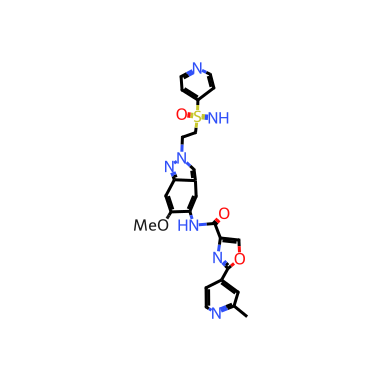 COc1cc2nn(CCS(=N)(=O)c3ccncc3)cc2cc1NC(=O)c1coc(-c2ccnc(C)c2)n1